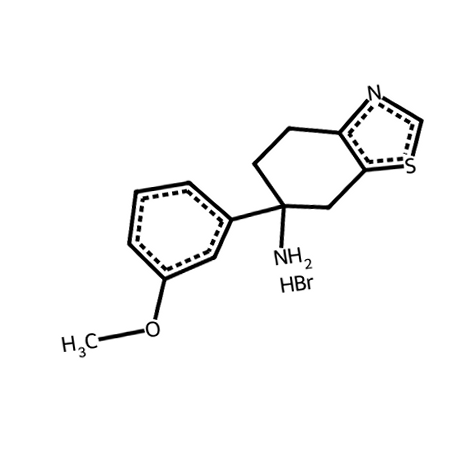 Br.COc1cccc(C2(N)CCc3ncsc3C2)c1